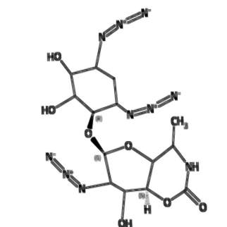 CC1NC(=O)O[C@H]2C(O)C(N=[N+]=[N-])[C@@H](O[C@@H]3C(N=[N+]=[N-])CC(N=[N+]=[N-])C(O)C3O)OC12